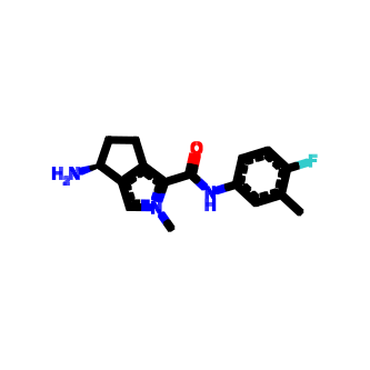 Cc1cc(NC(=O)c2c3c(cn2C)[C@@H](N)CC3)ccc1F